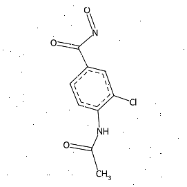 CC(=O)Nc1ccc(C(=O)N=O)cc1Cl